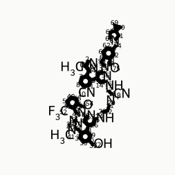 Cn1cnnc1-c1ccc(C#N)cc1-c1cc(NCC(C#N)[N+]#CCCNc2cc(-c3cc(CO)ccc3-c3nncn3C)cc(N3Cc4c(cccc4C(F)(F)F)C3=O)n2)nc(N2Cc3ccc(CN4CCC5(CC5)C4)cc3C2=O)c1